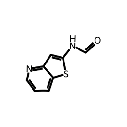 O=CNc1cc2ncccc2s1